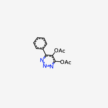 CC(=O)Oc1nnnc(-c2ccccc2)c1OC(C)=O